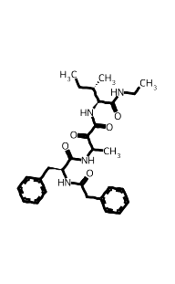 CCNC(=O)[C@@H](NC(=O)C(=O)C(C)NC(=O)[C@H](Cc1ccccc1)NC(=O)Cc1ccccc1)[C@@H](C)CC